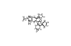 CN1CCN(C(=O)c2cc3[nH]c(C4CC4)nc3cc2N2CCCC2)[C@@H](c2ccccc2)C1